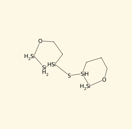 C1CO[SiH2][SiH](S[SiH]2CCO[SiH2][SiH2]2)C1